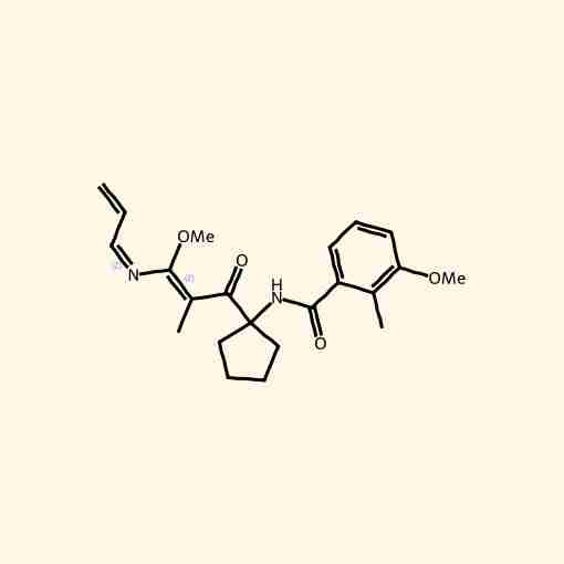 C=C/C=N\C(OC)=C(/C)C(=O)C1(NC(=O)c2cccc(OC)c2C)CCCC1